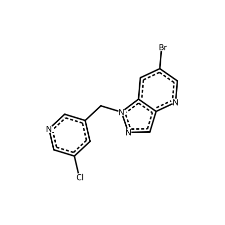 Clc1cncc(Cn2ncc3ncc(Br)cc32)c1